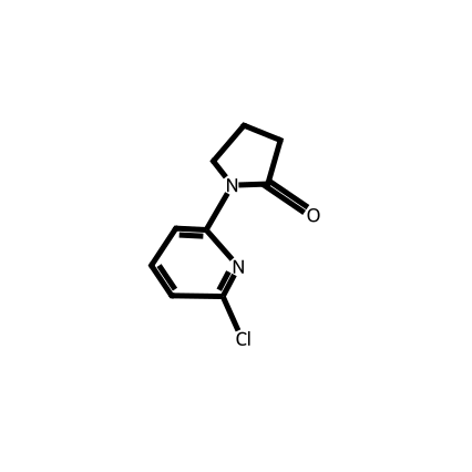 O=C1CCCN1c1cccc(Cl)n1